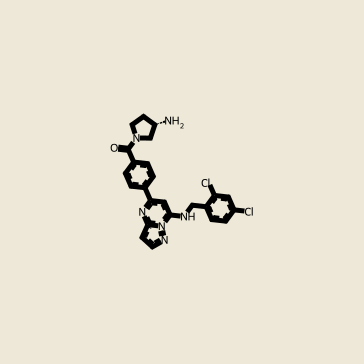 N[C@H]1CCN(C(=O)c2ccc(-c3cc(NCc4ccc(Cl)cc4Cl)n4nccc4n3)cc2)C1